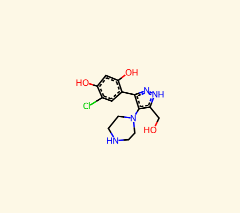 OCc1[nH]nc(-c2cc(Cl)c(O)cc2O)c1N1CCNCC1